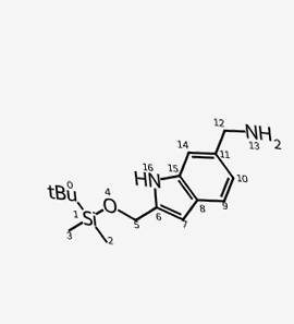 CC(C)(C)[Si](C)(C)OCc1cc2ccc(CN)cc2[nH]1